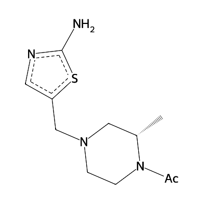 CC(=O)N1CCN(Cc2cnc(N)s2)C[C@@H]1C